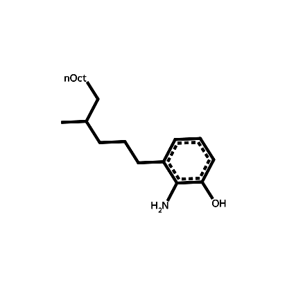 CCCCCCCCCC(C)CCCc1cccc(O)c1N